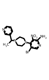 CC(c1cccnc1)N1CCN(c2c(Br)cnc(N)c2[N+](=O)[O-])CC1